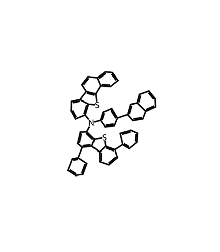 c1ccc(-c2cccc3c2sc2c(N(c4ccc(-c5ccc6ccccc6c5)cc4)c4cccc5c4sc4c6ccccc6ccc54)ccc(-c4ccccc4)c23)cc1